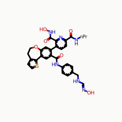 CCCNC(=O)c1ccc(-c2cc3c(cc2C(=O)Nc2ccc(CN/C=N/O)cc2)-c2sccc2CCO3)c(C(=O)NO)n1